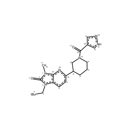 Cn1c(=O)n(CC(C)(C)C)c2ccc(C3CCCN(C(=O)c4cn[nH]c4)C3)nc21